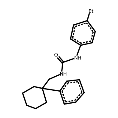 CCc1ccc(NC(=O)NCC2(c3ccccc3)CCCCC2)cc1